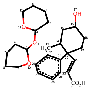 C1CCC(OC2CCCCO2)OC1.CC1CC(O)CCC1(C=CC(=O)O)c1ccccc1